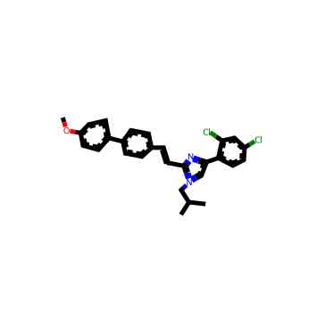 COc1ccc(-c2ccc(C=Cc3nc(-c4ccc(Cl)cc4Cl)cn3CC(C)C)cc2)cc1